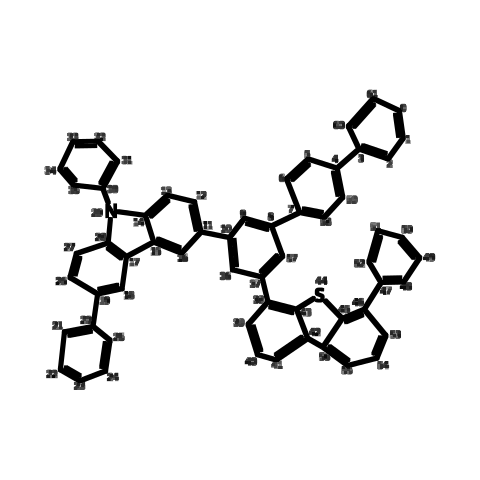 c1ccc(-c2ccc(-c3cc(-c4ccc5c(c4)c4cc(-c6ccccc6)ccc4n5-c4ccccc4)cc(-c4cccc5c4sc4c(-c6ccccc6)cccc45)c3)cc2)cc1